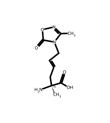 Cc1noc(=O)n1CC=CC[C@](C)(N)C(=O)O